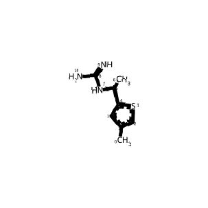 Cc1csc(C(C)NC(=N)N)c1